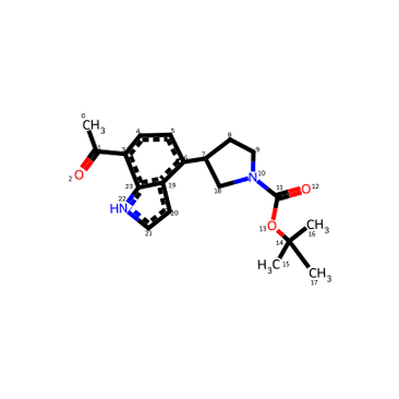 CC(=O)c1ccc(C2CCN(C(=O)OC(C)(C)C)C2)c2cc[nH]c12